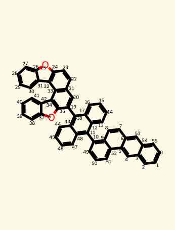 c1ccc2cc3c(ccc4c(-c5c6ccccc6c(-c6cc7ccc8oc9ccccc9c8c7c7c6oc6ccccc67)c6ccccc56)cccc43)cc2c1